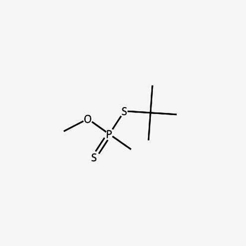 COP(C)(=S)SC(C)(C)C